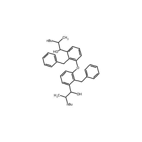 CCCCC(C)C(O)c1cccc(Oc2cccc(C(O)C(C)CCCC)c2Cc2ccccc2)c1Cc1ccccc1